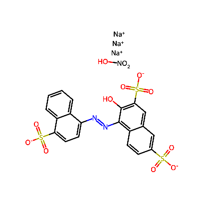 O=S(=O)([O-])c1ccc2c(/N=N/c3ccc(S(=O)(=O)[O-])c4ccccc34)c(O)c(S(=O)(=O)[O-])cc2c1.O=[N+]([O-])O.[Na+].[Na+].[Na+]